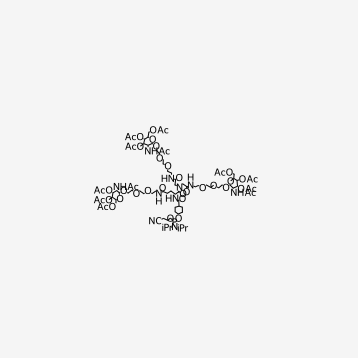 CC(=O)NC1C(OCCOCCOCCNC(=O)CCC(NC(=O)C2CCC(OP(OCCC#N)N(C(C)C)C(C)C)CC2)C(=O)N(CC(=O)NCCOCCOCCOC2OC(COC(C)=O)C(OC(C)=O)C(OC(C)=O)C2NC(C)=O)CC(=O)NCCOCCOCCOC2OC(COC(C)=O)C(OC(C)=O)C(OC(C)=O)C2NC(C)=O)OC(COC(C)=O)C(OC(C)=O)C1OC(C)=O